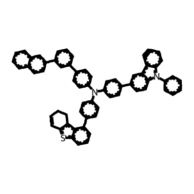 c1ccc2c(c#1)c1cc(-c3ccc(N(c4ccc(-c5cccc(-c6ccc7ccccc7c6)c5)cc4)c4ccc(-c5cccc6sc7c(c56)CCC=C7)cc4)cc3)ccc1n2-c1ccccc1